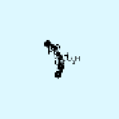 O=C(CNC(=O)OCc1ccccc1)NC(CS(=O)(=O)c1ccc(Sc2ccccc2)cc1)C(=O)O